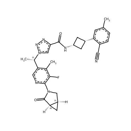 Cc1ccc(C#N)c([C@H]2C[C@@H](NC(=O)c3cn([C@@H](C)c4cnc(N5C[C@H]6C[C@H]6C5=O)c(F)c4C)nn3)C2)c1